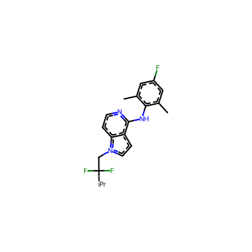 Cc1cc(F)cc(C)c1Nc1nccc2c1ccn2CC(F)(F)C(C)C